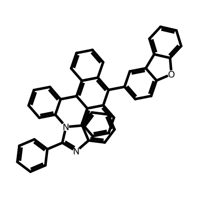 c1ccc(-c2nc3ccccc3n2-c2ccccc2-c2c3ccccc3c(-c3ccc4oc5ccccc5c4c3)c3ccccc23)cc1